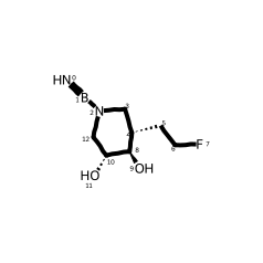 N=BN1C[C@H](CCF)[C@@H](O)[C@H](O)C1